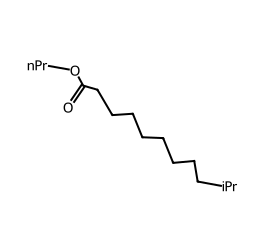 CCCOC(=O)CCCCCCCCC(C)C